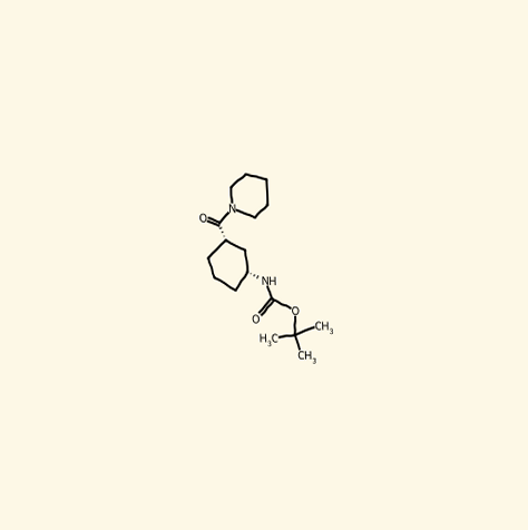 CC(C)(C)OC(=O)N[C@@H]1CCC[C@H](C(=O)N2CCCCC2)C1